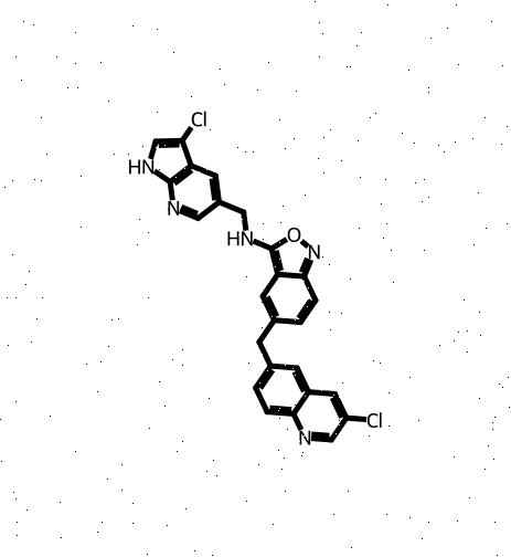 Clc1cnc2ccc(Cc3ccc4noc(NCc5cnc6[nH]cc(Cl)c6c5)c4c3)cc2c1